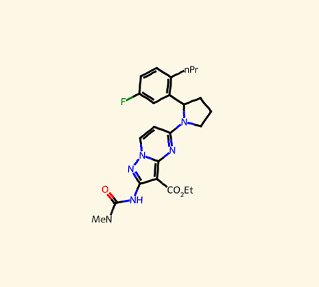 CCCc1ccc(F)cc1C1CCCN1c1ccn2nc(NC(=O)NC)c(C(=O)OCC)c2n1